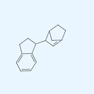 C1=C2CCC(C2)C1C1CCc2ccccc21